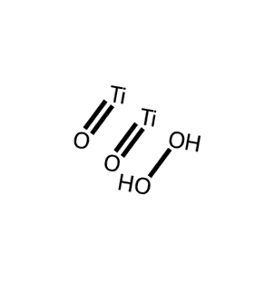 OO.[O]=[Ti].[O]=[Ti]